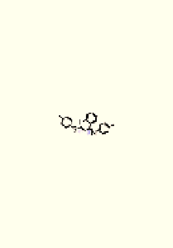 Cc1ccc(/N=C(/C=C/Sc2ccc(C)cc2)c2ccccc2F)cc1